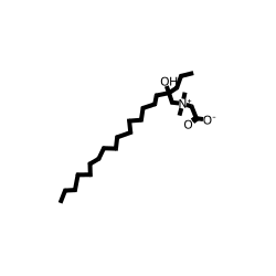 CCCCCCCCCCCCCCCCC(O)(CCC)C[N+](C)(C)CC(=O)[O-]